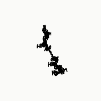 C[C@@H]1CN(CC(=O)N2CC(C)(C)c3[nH]c(=O)c(Cc4ccc(F)cc4)cc32)[C@@H](CN2CCO[C@H](C(=O)NCCCCCCNC(=O)[C@@H]3CN(C[C@H]4CN[C@H](C)CN4CC(=O)N4CC(C)(C)c5[nH]c(=O)c(Cc6ccc(F)cc6)cc54)CCO3)C2)CN1